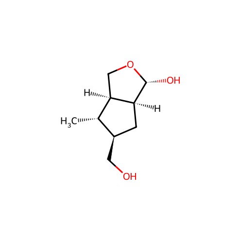 C[C@H]1[C@H](CO)C[C@H]2[C@@H]1CO[C@@H]2O